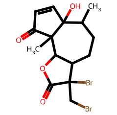 CC1CCC2C(OC(=O)C2(Br)CBr)C2(C)C(=O)C=CC12O